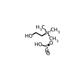 C[N+](C)(C)CCO.O=[SH](=O)O